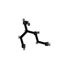 CC(CCl)OCCl